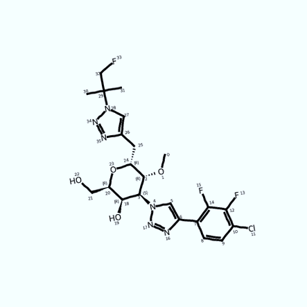 CO[C@@H]1[C@@H](n2cc(-c3ccc(Cl)c(F)c3F)nn2)[C@@H](O)[C@@H](CO)O[C@@H]1Cc1cn(C(C)(C)CF)nn1